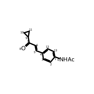 CC(=O)Nc1ccc(C=CC(=O)C2CC2)cc1